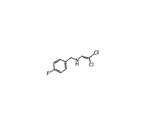 Fc1ccc(CNC=C(Cl)Cl)cc1